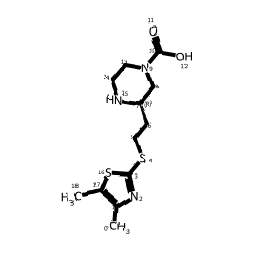 Cc1nc(SCC[C@@H]2CN(C(=O)O)CCN2)sc1C